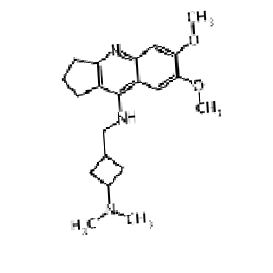 COc1cc2nc3c(c(NCC4CC(N(C)C)C4)c2cc1OC)CCC3